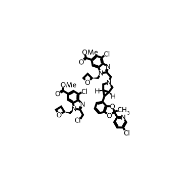 COC(=O)c1cc(Cl)c2nc(CCl)n(C[C@@H]3CCO3)c2c1.COC(=O)c1cc(Cl)c2nc(CN3C[C@@H]4C(c5cccc6c5OC(C)(c5ccc(Cl)cn5)O6)[C@@H]4C3)n(C[C@@H]3CCO3)c2c1